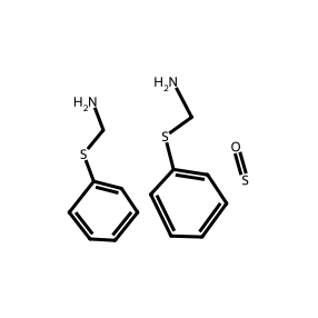 NCSc1ccccc1.NCSc1ccccc1.O=S